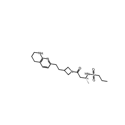 CCCS(=O)(=O)N[C@H](C)CC(=O)N1CC(CCc2ccc3c(n2)NCCC3)C1